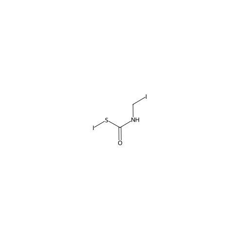 O=C(NCI)SI